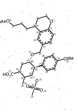 COCCCN1CCOc2ccc(CO[C@H]3CN(C(=O)O)C(C)[C@@H](OS(C)(=O)=O)[C@@H]3c3ccc(OC)cc3)cc21